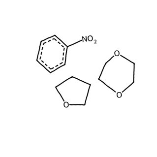 C1CCOC1.C1COCCO1.O=[N+]([O-])c1ccccc1